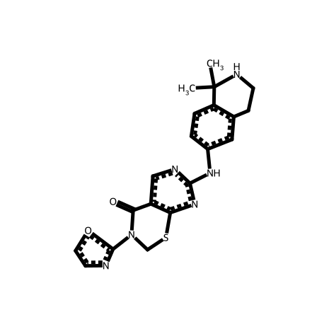 CC1(C)NCCc2cc(Nc3ncc4c(n3)SCN(c3ncco3)C4=O)ccc21